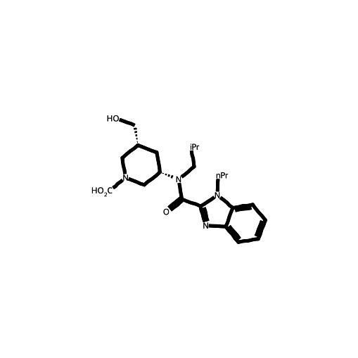 CCCn1c(C(=O)N(CC(C)C)[C@H]2C[C@@H](CO)CN(C(=O)O)C2)nc2ccccc21